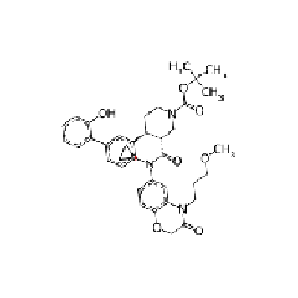 COCCCN1C(=O)COc2ccc(N(C(=O)[C@H]3CN(C(=O)OC(C)(C)C)CC[C@@H]3c3cccc(-c4ccccc4O)c3)C3CC3)cc21